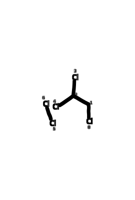 ClCC(Cl)Cl.ClCl